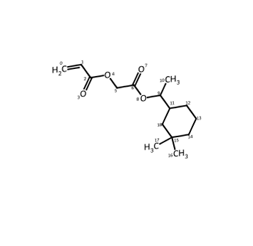 C=CC(=O)OCC(=O)OC(C)C1CCCC(C)(C)C1